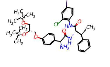 C[C@@H](c1ccccc1)[C@H](NC(=O)[C@H](N)c1ccc(OC[C@@H](CO[Si](C)(C)C)O[Si](C)(C)C)cc1)C(=O)Nc1ccc(I)cc1Cl